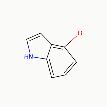 [O]c1cccc2[nH]ccc12